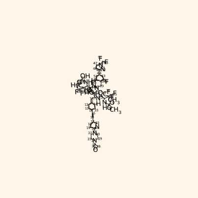 COC(=O)N[C@H](C(=O)N[C@@H](Cc1ccc(C#Cc2ccc(N3CCN(C4COC4)CC3)nc2)cc1)[C@@H](O)CN(Cc1c(F)cc(-c2ccn(C(F)F)n2)cc1F)NC(=O)[C@@H](NC(=O)O)C(C)(C)C(F)(F)F)C(C)(C)C(F)(F)F